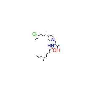 C=CC[C@H](C)CCCC[C@H](O)N[C@@H](CN1CCC(C(C)C/C=C(/Cl)C=C)CC1)C(C)C